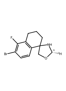 [2H][C@H]1NC2(CCCc3c2ccc(Br)c3F)CO1